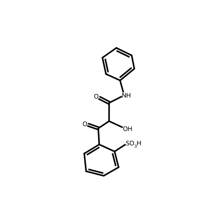 O=C(Nc1ccccc1)C(O)C(=O)c1ccccc1S(=O)(=O)O